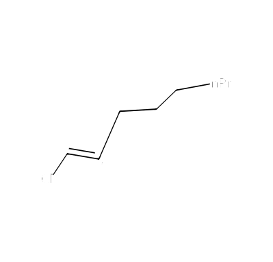 CCCCCC/C=C/Cl